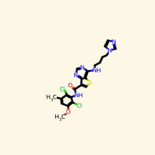 COc1cc(C)c(Cl)c(NC(=O)c2csc3c(NCCCCn4ccnc4)ncnc23)c1Cl